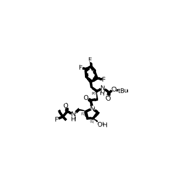 CC(C)(C)OC(=O)N[C@@H](CC(=O)N1C[C@@H](O)C[C@H]1CNC(=O)C(C)(C)F)Cc1cc(F)c(F)cc1F